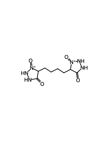 O=C1NN[N+](=O)C1CCCCC1C(=O)NN[N+]1=O